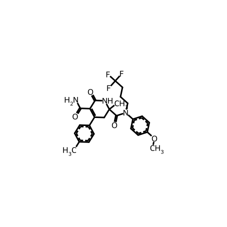 COc1ccc(N(CCCC(F)(F)F)C(=O)C2(C)CC(c3ccc(C)cc3)=C(C(N)=O)C(=O)N2)cc1